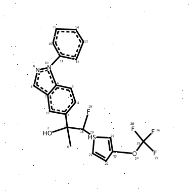 CC(O)(c1ccc2c(cnn2-c2ccccc2)c1)C(F)[SH]1C=CC(OC(F)(F)F)=C1